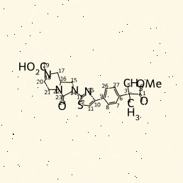 COC(=O)C(C)(C)c1ccc(-c2csc(N3CC4CN(C(=O)O)CCN4C3=O)n2)cc1